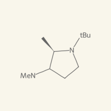 CNC1CCN(C(C)(C)C)[C@@H]1C